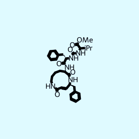 COC(=O)C(NC(=O)N[C@@H](Cc1ccccc1)C(=O)N[C@H]1CCCCNC(=O)/C=C/[C@H](Cc2ccccc2)NC1=O)C(C)C